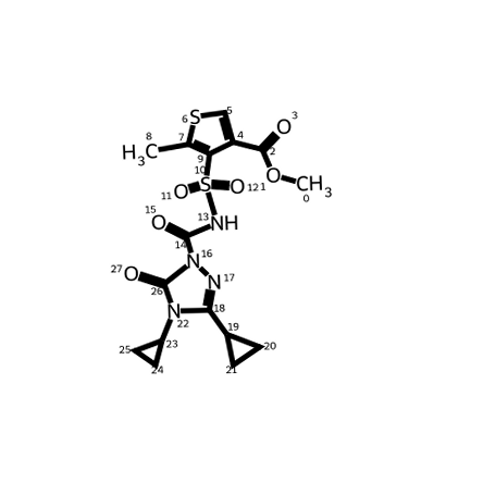 COC(=O)c1csc(C)c1S(=O)(=O)NC(=O)n1nc(C2CC2)n(C2CC2)c1=O